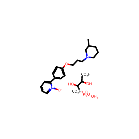 CC1CCCN(CCCOc2ccc(-c3cccc[n+]3[O-])cc2)C1.O.O.O.O=C(O)C(O)C(O)C(=O)O